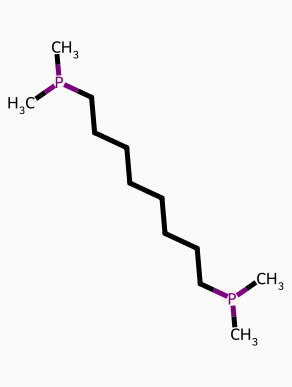 CP(C)CCCCCCCCP(C)C